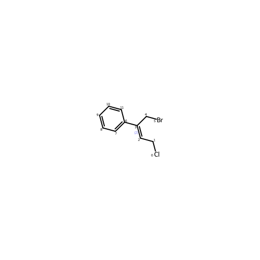 ClC/C=C(\CBr)c1ccccc1